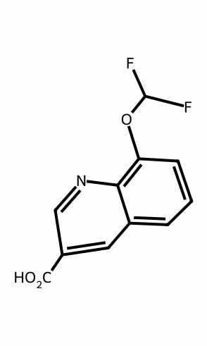 O=C(O)c1cnc2c(OC(F)F)cccc2c1